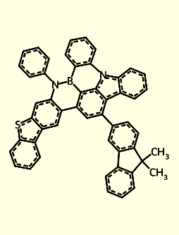 CC1(C)c2ccccc2-c2cc(-c3cc4c5c6c3c3ccccc3n6-c3ccccc3B5N(c3ccccc3)c3cc5sc6ccccc6c5cc3-4)ccc21